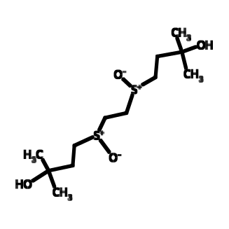 CC(C)(O)CC[S+]([O-])CC[S+]([O-])CCC(C)(C)O